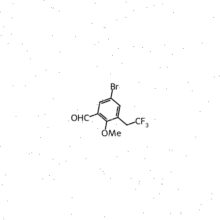 COc1c(C=O)cc(Br)cc1CC(F)(F)F